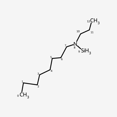 CCCCCCCCN([SiH3])CCC